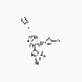 C[C@@](COc1ccc(C#N)nc1)(OC(=O)CCCC[C@@H]1CCSS1)C(=O)Nc1cnc(C#N)c(C(F)(F)F)c1